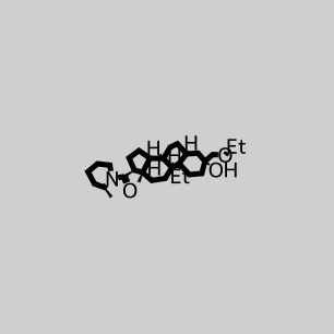 CCOC[C@@]1(O)CCC2(CC)[C@H](CC[C@@H]3[C@@H]2CC[C@]2(C)[C@@H](C(=O)N4CCCC[C@@H]4C)CC[C@@H]32)C1